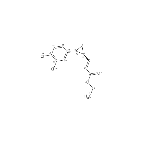 CCOC(=O)C=C[C@@H]1C[C@H]1c1ccc(Cl)c(Cl)c1